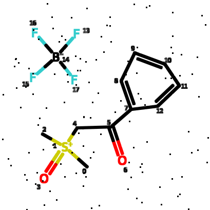 C[S+](C)(=O)CC(=O)c1ccccc1.F[B-](F)(F)F